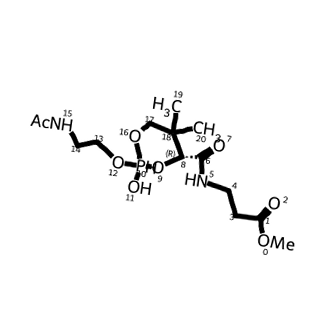 COC(=O)CCNC(=O)[C@@H]1O[PH](O)(OCCNC(C)=O)OCC1(C)C